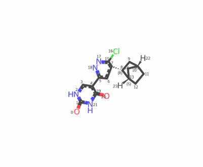 O=c1[nH]cc(-c2cc([C@@H]3C[C@@H]4CC[C@H]3C4)c(Cl)nn2)c(=O)[nH]1